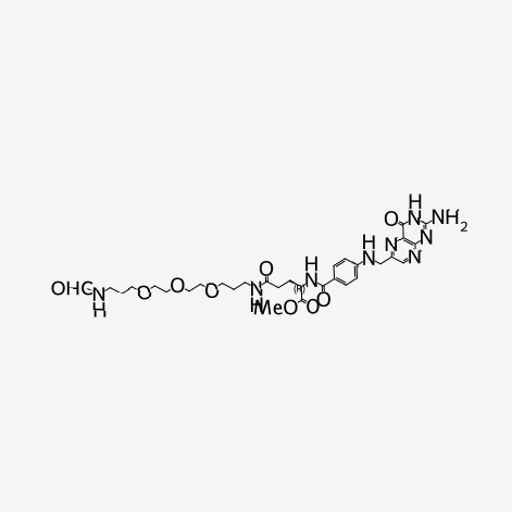 COC(=O)[C@@H](CCC(=O)NCCCOCCOCCOCCCNC=O)NC(=O)c1ccc(NCc2cnc3nc(N)[nH]c(=O)c3n2)cc1